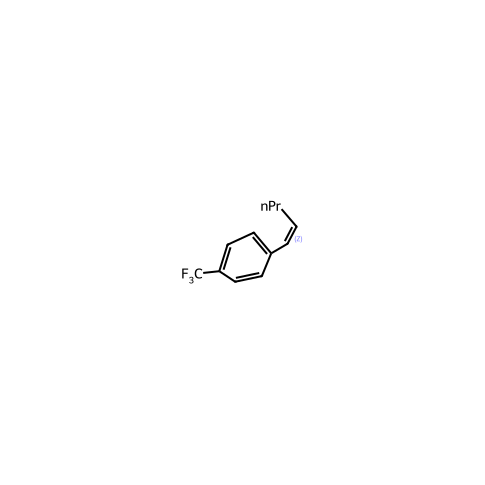 CCC/C=C\c1ccc(C(F)(F)F)cc1